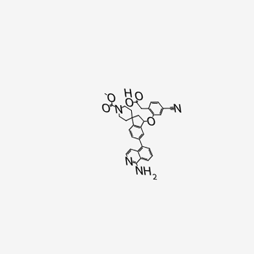 COC(=O)N1CCC2(CC1)CC(Oc1cc(C#N)ccc1CC(=O)O)c1cc(-c3cccc4c(N)nccc34)ccc12